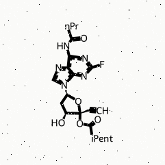 C#C[C@]1(OC(=O)C(C)CCC)O[C@@H](n2cnc3c(NC(=O)CCC)nc(F)nc32)C[C@@H]1O